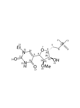 C=P(C)(C)CC[C@H]1OC(c2cn(CC)c(=O)[nH]c2=O)[C@H](OC)[C@@H]1O